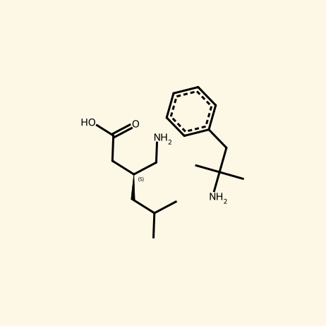 CC(C)(N)Cc1ccccc1.CC(C)C[C@H](CN)CC(=O)O